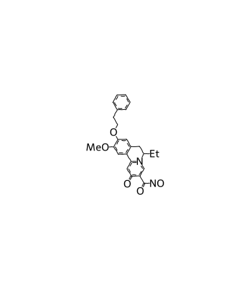 CCC1Cc2cc(OCCc3ccccc3)c(OC)cc2-c2cc(=O)c(C(=O)N=O)cn21